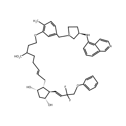 Cc1ccc(CN2CC[C@@H](Nc3cccc4cnccc34)C2)cc1OCCC(CCC=CC[C@@H]1[C@@H](C=CC(F)(F)COc2ccccc2)[C@H](O)C[C@@H]1O)C(=O)O